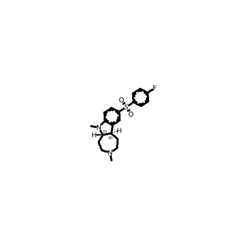 CN1CC[C@@H]2c3cc(S(=O)(=O)c4ccc(F)cc4)ccc3N(C)[C@H]2CC1